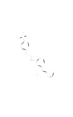 CC1=CS/C(=C(/C#N)c2ccnc(NCCc3ccc(S(N)(=O)=O)cc3)n2)N1